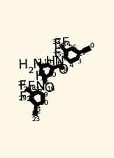 C#Cc1ccc(NC(=O)c2cc(N)cc(C(=O)Nc3ccc(C#C)cc3C(F)(F)F)c2)c(C(F)(F)F)c1